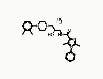 Cc1cccc(N2CCN(C[C@H](O)CNC(=O)c3nc(C)n(-c4ccccc4)c3C)CC2)c1C.Cl.Cl